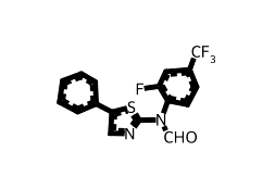 O=CN(c1ncc(-c2ccccc2)s1)c1ccc(C(F)(F)F)cc1F